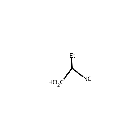 [C-]#[N+]C(CC)C(=O)O